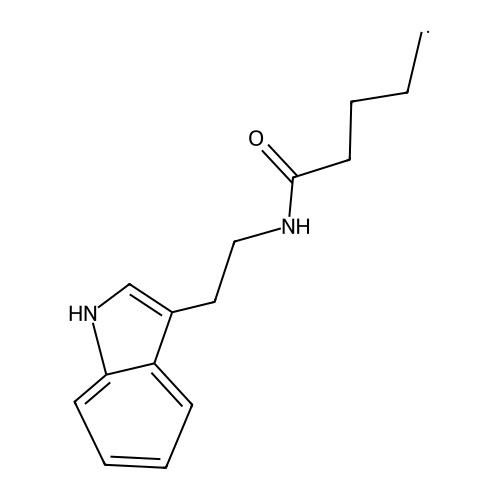 [CH2]CCCC(=O)NCCc1c[nH]c2ccccc12